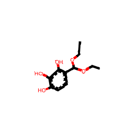 CCOC(OCC)c1ccc(O)c(O)c1O